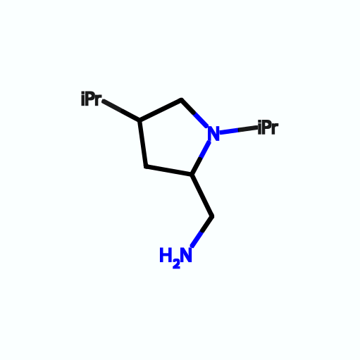 CC(C)C1CC(CN)N(C(C)C)C1